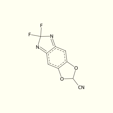 N#CC1Oc2cc3c(cc2O1)=NC(F)(F)N=3